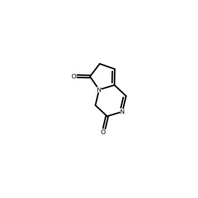 O=C1CN2C(=O)CC=C2C=N1